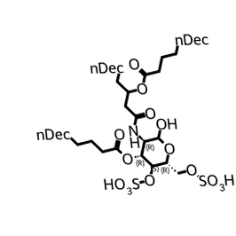 CCCCCCCCCCCCCC(=O)OC(CCCCCCCCCCC)CC(=O)N[C@H]1C(O)O[C@H](COS(=O)(=O)O)[C@@H](OS(=O)(=O)O)[C@@H]1OC(=O)CCCCCCCCCCCCC